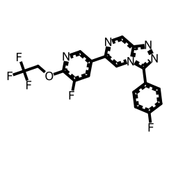 Fc1ccc(-c2nnc3cnc(-c4cnc(OCC(F)(F)F)c(F)c4)cn23)cc1